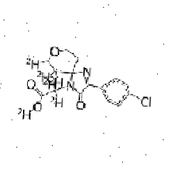 [2H]OC(=O)C([2H])([2H])N1C(=O)C(c2ccc(Cl)cc2)=NC12CCOC([2H])C2([2H])[2H]